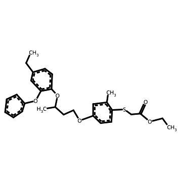 CCOC(=O)CSc1ccc(OCCC(C)Oc2ccc(CC)cc2Oc2ccccc2)cc1C